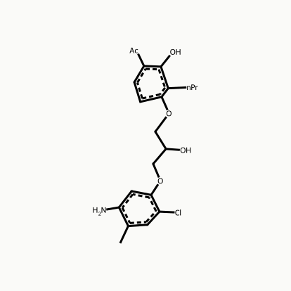 CCCc1c(OCC(O)COc2cc(N)c(C)cc2Cl)ccc(C(C)=O)c1O